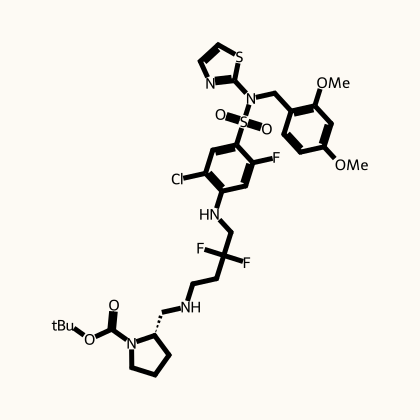 COc1ccc(CN(c2nccs2)S(=O)(=O)c2cc(Cl)c(NCC(F)(F)CCNC[C@@H]3CCCN3C(=O)OC(C)(C)C)cc2F)c(OC)c1